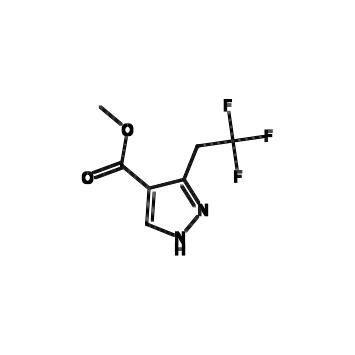 COC(=O)c1c[nH]nc1CC(F)(F)F